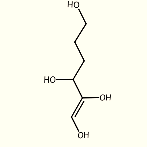 O/C=C(\O)C(O)CCCO